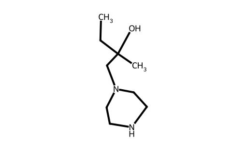 CCC(C)(O)CN1CCNCC1